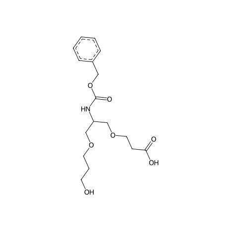 O=C(O)CCOCC(COCCCO)NC(=O)OCc1ccccc1